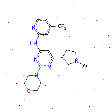 CC(=O)N1CCC(c2cc(Nc3cc(C(F)(F)F)ccn3)nc(N3CCOCC3)n2)C1